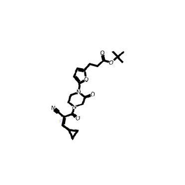 CC(C)(C)OC(=O)CCc1ccc(N2CCN(C(=O)/C(C#N)=C\C3CC3)CC2=O)o1